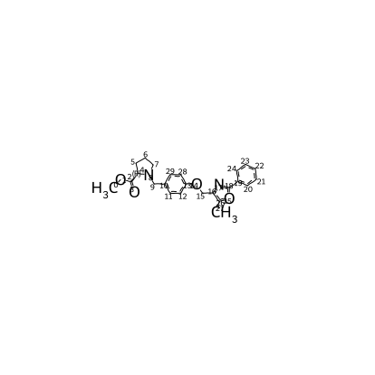 COC(=O)[C@H]1CCCN1Cc1ccc(OCc2nc(-c3ccccc3)oc2C)cc1